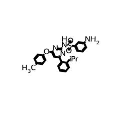 Cc1ccc(Oc2cc(-c3ccccc3C(C)C)nc(NS(=O)(=O)c3cccc(N)c3)n2)cc1